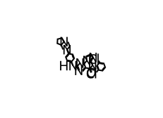 O=c1c2cnc(Nc3ccc(N4CCN5CCCC5C4)cc3)nc2n2ccnc2n1-c1c(Cl)cccc1Cl